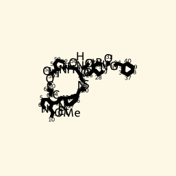 CCn1c(-c2cccnc2[C@H](C)OC)c2c3cc(ccc31)-c1csc(n1)[C@@H](OCC1=CCN(C(=O)OCc3ccccc3)CC1)[C@H](NC(=O)OC(C)(C)C)C(=O)N1CCC[C@H](N1)C(=O)OCC(C)(C)C2